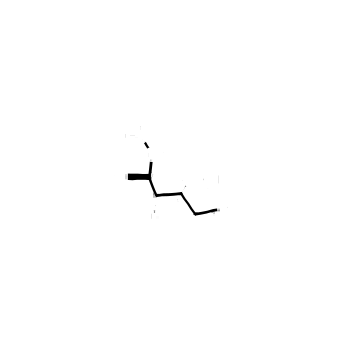 CCC[C@H](C(=O)OC(C)(C)C)[C@@H](CC(C)C)C(=O)O